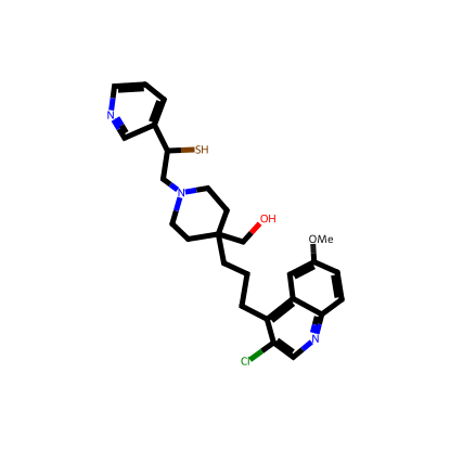 COc1ccc2ncc(Cl)c(CCCC3(CO)CCN(CC(S)c4cccnc4)CC3)c2c1